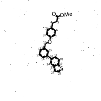 COC(=O)CCc1ccc(OCc2cccc(-c3ccc4sccc4c3)c2)cc1